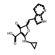 O=C(O)C1=C(NC2CC2)O/C(=C\c2c[nH]c3ncccc23)C1=O